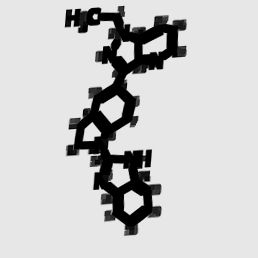 CCn1nc(-c2ccc3c(c2)CCN3c2nc3ccccc3[nH]2)c2ncccc21